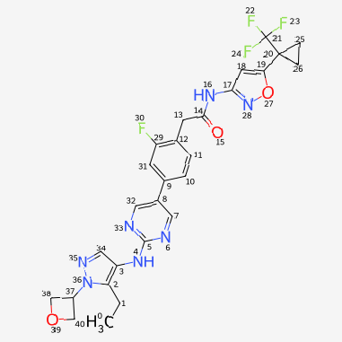 CCc1c(Nc2ncc(-c3ccc(CC(=O)Nc4cc(C5(C(F)(F)F)CC5)on4)c(F)c3)cn2)cnn1C1COC1